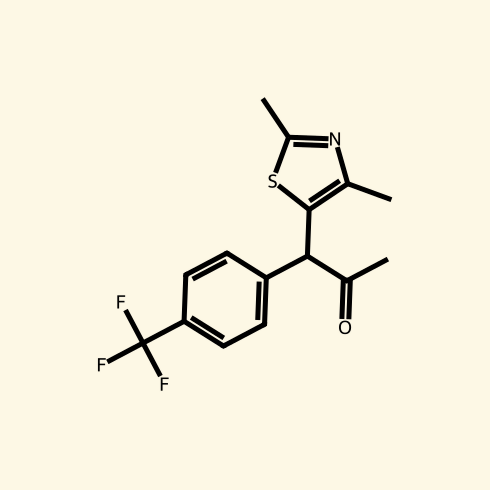 CC(=O)C(c1ccc(C(F)(F)F)cc1)c1sc(C)nc1C